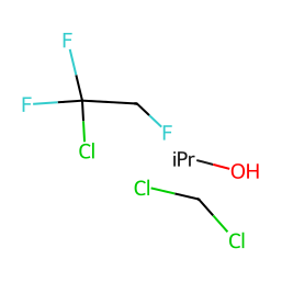 CC(C)O.ClCCl.FCC(F)(F)Cl